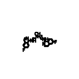 CN(CCNc1nccc2cc(F)ccc12)CCNc1nccc2cc(F)ccc12